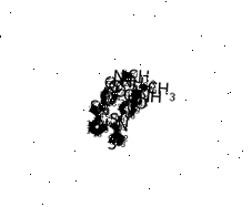 Cc1cnc(S(=O)(=O)N2CCN(c3nc(-c4ccccn4)cs3)CC2)[nH]1.Cc1cnc(S(=O)(=O)N2CCN(c3nc(-c4ccsc4)cs3)CC2)[nH]1